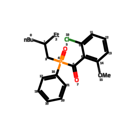 CCCCC(CC)CP(=O)(C(=O)c1c(Cl)cccc1OC)c1ccccc1